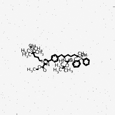 CCOC(=O)c1nc(-c2ccc(CC(CCCC(C)(C)[Si](O)(c3ccccc3)c3ccccc3)NC(=O)OC(C)(C)C)cc2)cn1CCCC(C)(C)[Si](C)(C)O